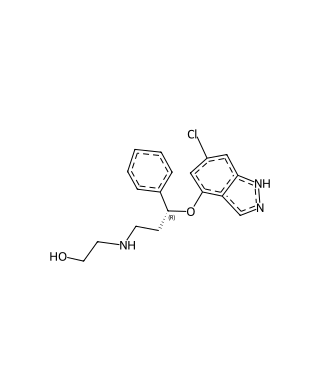 OCCNCC[C@@H](Oc1cc(Cl)cc2[nH]ncc12)c1ccccc1